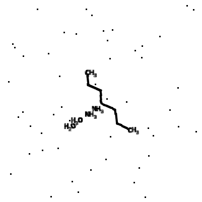 CCCCCCC.N.N.O.O